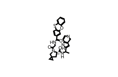 CC(NC(=O)[C@@H]1CC2(CC2)CN1C(=O)CNC(=O)c1ccc2c(c1)Oc1ccccc1S2)c1cc2cnccc2[nH]1